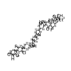 CCN(C)S(=O)(=O)Nc1ccc(F)c(C(=O)c2c[nH]c3ncc(-c4ccc(N5CCN(C(=O)CC6(O)CCN(c7cc(F)c(N8CCC(=O)NC8=O)cc7Cl)CC6)CC5)nc4)cc23)c1F